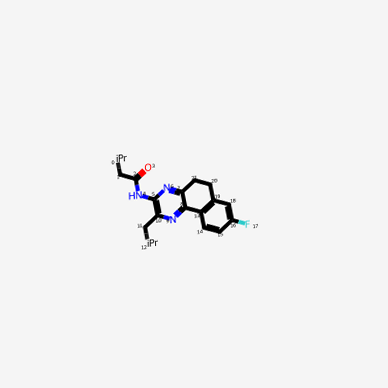 CC(C)CC(=O)Nc1nc2c(nc1CC(C)C)-c1ccc(F)cc1CC2